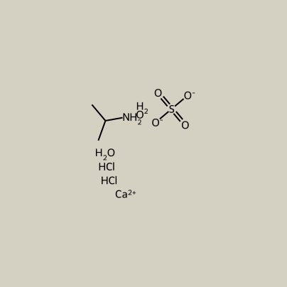 CC(C)N.Cl.Cl.O.O.O=S(=O)([O-])[O-].[Ca+2]